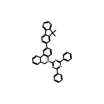 CC1(C)c2ccccc2-c2ccc(-c3ccc4c(c3)C3C=CC=CC3CN4c3nc(-c4ccccc4)nc(-c4ccccc4)n3)cc21